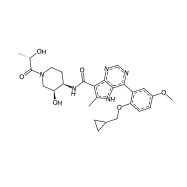 COc1ccc(OCC2CC2)c(-c2ncnc3c(C(=O)N[C@@H]4CCN(C(=O)[C@H](C)O)C[C@@H]4O)c(C)[nH]c23)c1